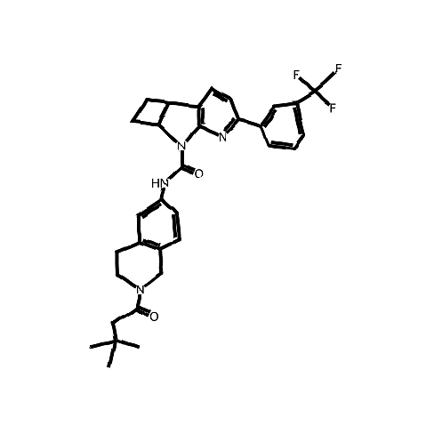 CC(C)(C)CC(=O)N1CCc2cc(NC(=O)N3c4nc(-c5cccc(C(F)(F)F)c5)ccc4C4CCC43)ccc2C1